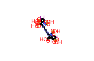 CC1(CS(=O)(=O)O)C(/C=C/C=C/C=C/C=C2\N(CS(=O)(=O)O)c3cc(I)c(S(=O)(=O)O)c(I)c3C2(C)CC(=O)O)=[N+](CS(=O)(=O)O)c2cc(I)c(I)c(S(=O)(=O)O)c21